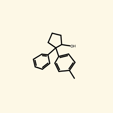 Cc1ccc(C2(c3ccccc3)CCCC2O)cc1